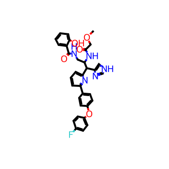 COCC(=O)NC(CNC(=O)c1ccccc1O)C(c1c[nH]cn1)c1cccc(-c2ccc(Oc3ccc(F)cc3)cc2)n1